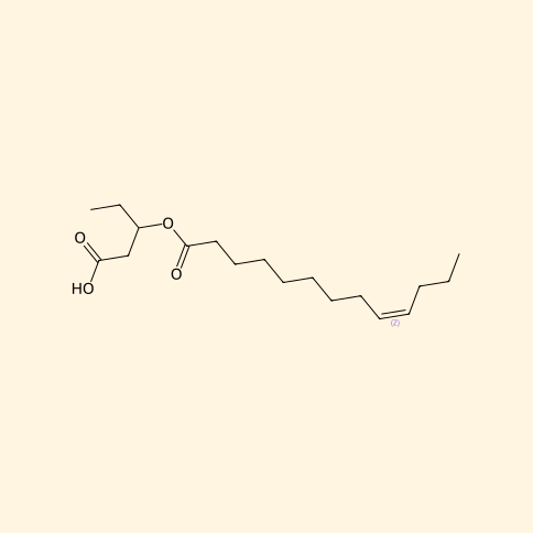 CCC/C=C\CCCCCCCC(=O)OC(CC)CC(=O)O